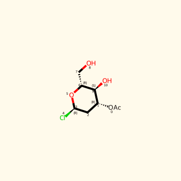 CC(=O)O[C@@H]1C[C@@H](Cl)O[C@H](CO)[C@H]1O